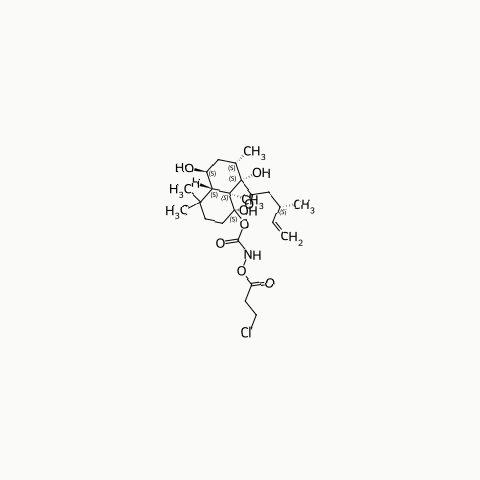 C=C[C@@H](C)CC(=O)[C@]1(O)[C@@H](C)C[C@H](O)[C@H]2C(C)(C)CC[C@](O)(OC(=O)NOC(=O)CCCl)[C@@]21C